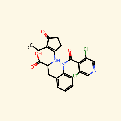 CCC1=C(N[C@@H](Cc2ccccc2NC(=O)c2c(Cl)cncc2Cl)C(=O)O)CCC1=O